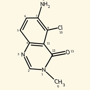 Cn1cnc2ccc(N)c(Cl)c2c1=O